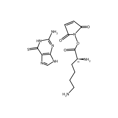 NCCCC[C@H](N)C(=O)ON1C(=O)C=CC1=O.Nc1nc2[nH]cnc2c(=S)[nH]1